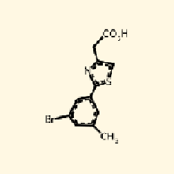 Cc1cc(Br)cc(-c2nc(CC(=O)O)cs2)c1